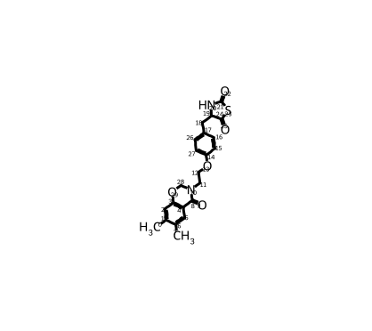 Cc1cc2c(cc1C)C(=O)N(CCOc1ccc(CC3NC(=O)SC3=O)cc1)CO2